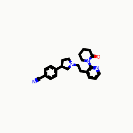 N#Cc1ccc(C2CCN(CCc3cccnc3N3CCCCC3=O)C2)cc1